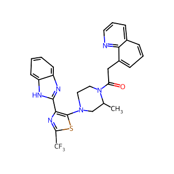 CC1CN(c2sc(C(F)(F)F)nc2-c2nc3ccccc3[nH]2)CCN1C(=O)Cc1cccc2cccnc12